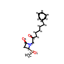 C[S+]([O-])C1CC(=O)N1CC(=O)CCCCCc1ccccc1